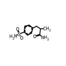 CC(Cc1ccc(S(N)(=O)=O)cc1)C(N)=O